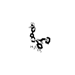 Cc1nc2ncc(-c3ccc4c(c3)CN(c3nc(CN5CCCCC5)nc5c3CC(C)(C)CC5)CCO4)cc2[nH]1